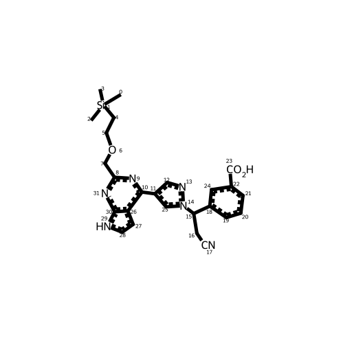 C[Si](C)(C)CCOCc1nc(-c2cnn(C(CC#N)c3cccc(C(=O)O)c3)c2)c2cc[nH]c2n1